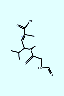 C/C(=C\C(C(C)C)N(C)C(=O)CNC=O)C(=O)O